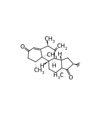 C=C1[C@H](C)C2=CC(=O)C[C@@H](C)[C@]2(C)[C@H]2CC[C@]3(C)C(=O)[C@H](F)C[C@H]3[C@H]12